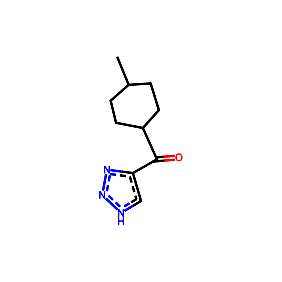 CC1CCC(C(=O)c2c[nH]nn2)CC1